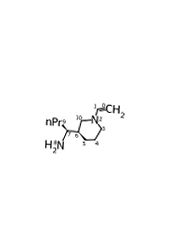 C=CN1CCC[C@@H]([C@@H](N)CCC)C1